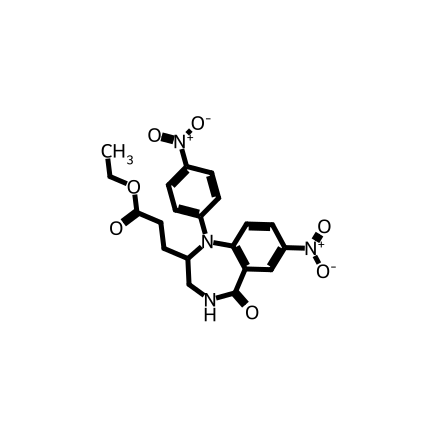 CCOC(=O)CCC1CNC(=O)c2cc([N+](=O)[O-])ccc2N1c1ccc([N+](=O)[O-])cc1